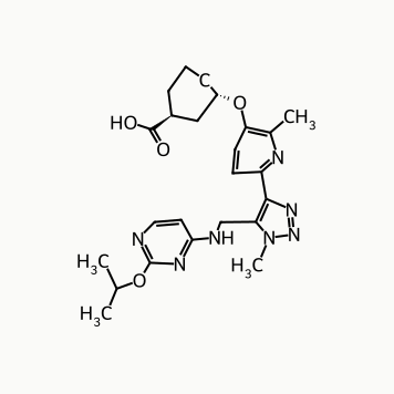 Cc1nc(-c2nnn(C)c2CNc2ccnc(OC(C)C)n2)ccc1O[C@H]1CCC[C@H](C(=O)O)C1